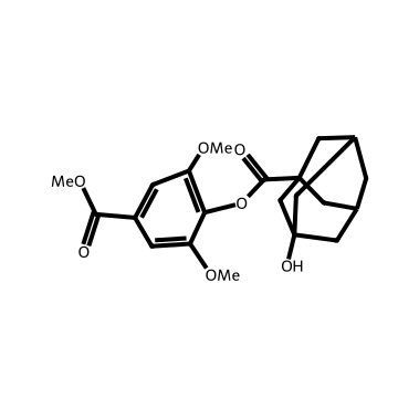 COC(=O)c1cc(OC)c(OC(=O)C23CC4CC(CC(O)(C4)C2)C3)c(OC)c1